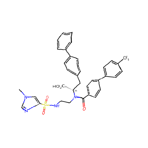 Cn1cnc(S(=O)(=O)NCCN(C(=O)c2ccc(-c3ccc(C(F)(F)F)cc3)cc2)[C@@H](Cc2ccc(-c3ccccc3)cc2)C(=O)O)c1